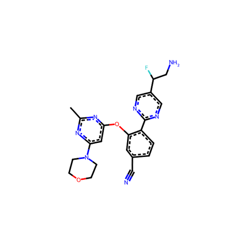 Cc1nc(Oc2cc(C#N)ccc2-c2ncc(C(F)CN)cn2)cc(N2CCOCC2)n1